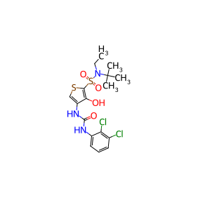 CCN(C(C)(C)C)S(=O)(=O)c1scc(NC(=O)Nc2cccc(Cl)c2Cl)c1O